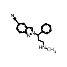 CNCCC(c1ccccc1)n1cc2cc(C#N)ccc2n1